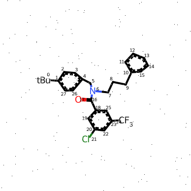 CC(C)(C)c1ccc(CN(CCCc2ccccc2)C(=O)c2cc(Cl)cc(C(F)(F)F)c2)cc1